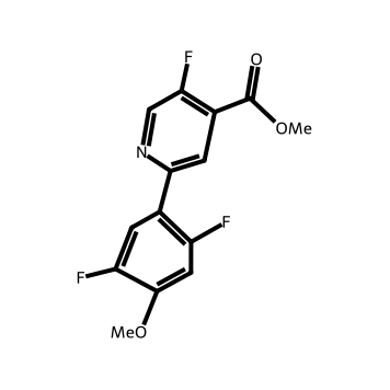 COC(=O)c1cc(-c2cc(F)c(OC)cc2F)ncc1F